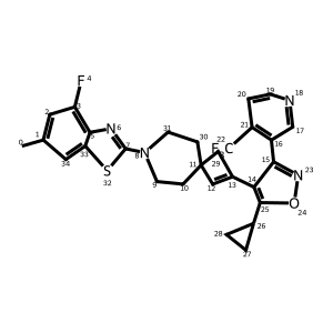 Cc1cc(F)c2nc(N3CCC4(C=C(c5c(-c6cnccc6C(F)(F)F)noc5C5CC5)C4)CC3)sc2c1